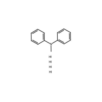 CN(c1ccccc1)c1ccccc1.I.I.I.I